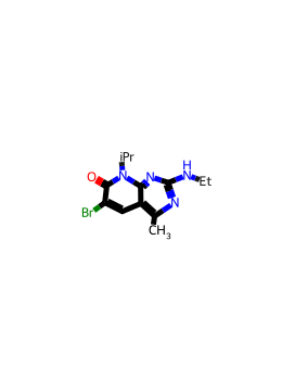 CCNc1nc(C)c2cc(Br)c(=O)n(C(C)C)c2n1